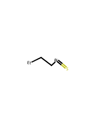 CCC[CH2][Bi]=[S]